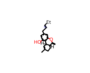 C=C1Oc2cc(C/C=C/CC)cc(O)c2[C@@H]2C=C(C)CC[C@@H]12